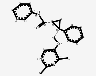 Cc1ncc(OC[C@@]2(c3ccccc3)C[C@H]2C(=O)Nc2cccnc2)c(C)n1